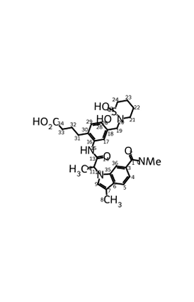 CNC(=O)c1ccc2c(C)cn(C(C)C(=O)Nc3cc(CN4CCCCS4(O)O)ccc3CCCC(=O)O)c2c1